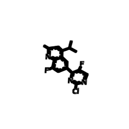 Cc1cc(C(C)C)c2cc(-c3nc(Cl)ncc3F)cc(F)c2n1